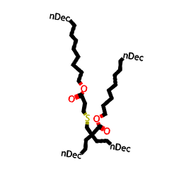 CCCCCCCCCCCCCCCCCCOC(=O)CCSCC(CCCCCCCCCCCC)(CCCCCCCCCCCC)C(=O)OCCCCCCCCCCCCCCCCCC